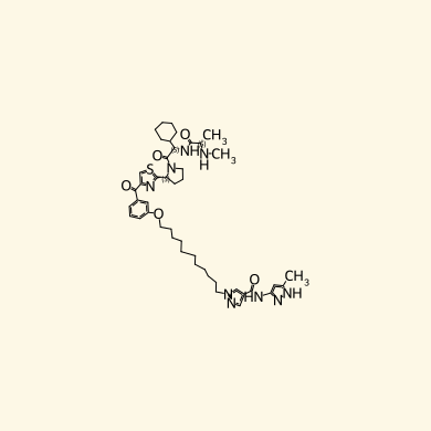 CN[C@@H](C)C(=O)N[C@H](C(=O)N1CCC[C@H]1c1nc(C(=O)c2cccc(OCCCCCCCCCCCn3cc(C(=O)Nc4cc(C)[nH]n4)cn3)c2)cs1)C1CCCCC1